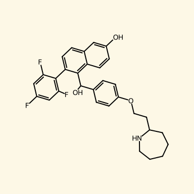 Oc1ccc2c(C(O)c3ccc(OCCC4CCCCCN4)cc3)c(-c3c(F)cc(F)cc3F)ccc2c1